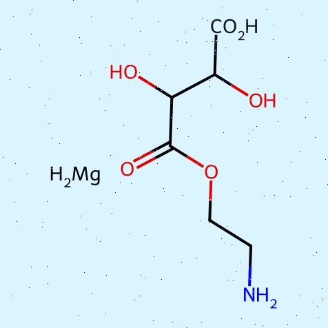 NCCOC(=O)C(O)C(O)C(=O)O.[MgH2]